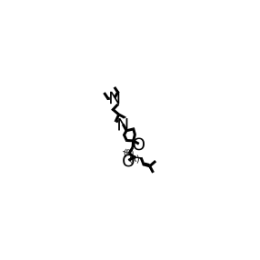 CCN(CC)CCC1CN(C2CCC3(CC2)OC3[C@]2(C)O[C@@H]2CC=C(C)C)C1